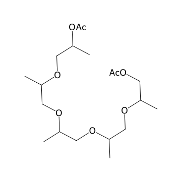 CC(=O)OCC(C)OCC(C)OCC(C)OCC(C)OCC(C)OC(C)=O